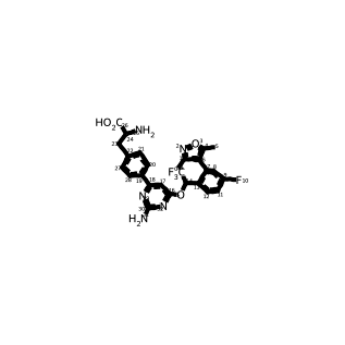 Cc1noc(C)c1-c1cc(F)ccc1C(Oc1cc(-c2ccc(CC(N)C(=O)O)cc2)nc(N)n1)C(F)(F)F